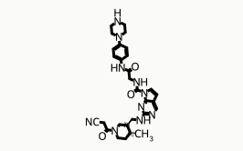 C[C@@H]1CCN(C(=O)CC#N)C[C@H]1CNc1ncc2ccn(C(=O)NCC(=O)Nc3ccc(N4CCNCC4)cc3)c2n1